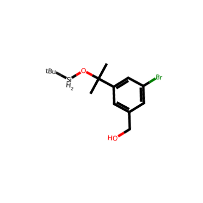 CC(C)(C)[SiH2]OC(C)(C)c1cc(Br)cc(CO)c1